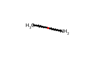 CCCCCCCCCCCCCCCCCCCCCCCCCC=CN